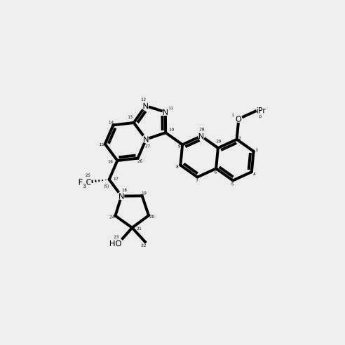 CC(C)Oc1cccc2ccc(-c3nnc4ccc([C@H](N5CCC(C)(O)C5)C(F)(F)F)cn34)nc12